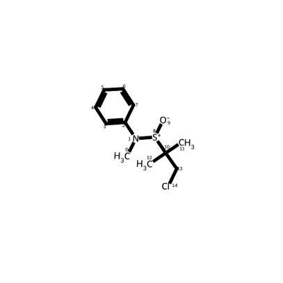 CN(c1ccccc1)[S+]([O-])C(C)(C)CCl